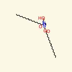 CCCCCCCCC=CCCCCCCCC(=O)OCCN1C=CN(CCO)C1C(=O)CCCCCCCC=CCCCCCCCC